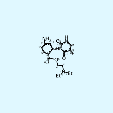 CCN(CC)CCOC(=O)c1ccc(N)cc1.O=c1[nH]cc(F)c(=O)[nH]1